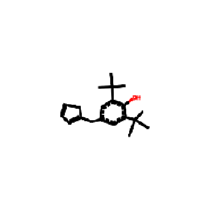 CC(C)(C)c1cc(CC2=CC=CC2)cc(C(C)(C)C)c1O